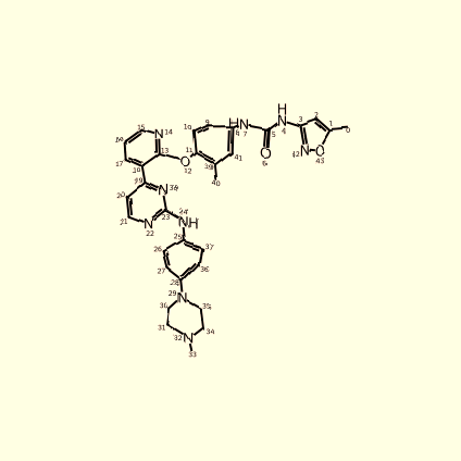 Cc1cc(NC(=O)Nc2ccc(Oc3ncccc3-c3ccnc(Nc4ccc(N5CCN(C)CC5)cc4)n3)c(C)c2)no1